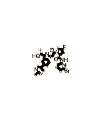 Cc1ncc(-c2ccc3c(c2)c([C@@H](C)O)nn3CC(=O)N2C[C@H](F)C[C@H]2C(=O)Nc2cccc(Br)n2)cn1